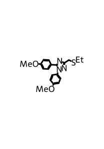 CCSCc1nc(-c2ccc(OC)cc2)n(-c2ccc(OC)cc2)n1